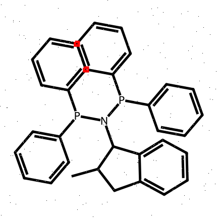 CC1Cc2ccccc2C1N(P(c1ccccc1)c1ccccc1)P(c1ccccc1)c1ccccc1